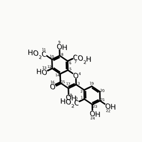 O=C(O)c1c(-c2oc3c(C(=O)O)c(O)c(C(=O)O)c(O)c3c(=O)c2O)ccc(O)c1O